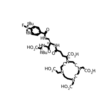 CCCC[C@@H](NC(=O)[C@@H](CNC(=O)c1ccc(S(F)(C(C)(C)C)C(C)(C)C)cc1)NC(=O)CC[C@@H](C(=O)O)N1CCN(CC(=O)O)CCN(CC(=O)O)CCN(CC(=O)O)CC1)C(=O)O